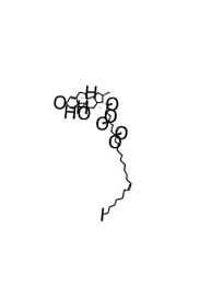 C[C@@H]1CC2[C@@H]3CCC4=CC(=O)C=C[C@]4(C)[C@H]3[C@@H](O)C[C@]2(C)[C@H]1C(=O)COC(=O)CCC(=O)OCCCCCCCC/C=C\CCCCCCI